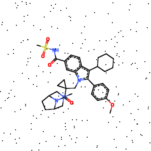 COc1ccc(-c2c(C3CCCCC3)c3ccc(C(=O)NS(C)(=O)=O)cc3n2CC2(C(=O)N3C4CCC3CN(C)C4)CC2)cc1